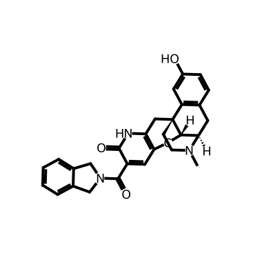 CN1CC[C@]23Cc4[nH]c(=O)c(C(=O)N5Cc6ccccc6C5)cc4C[C@H]2[C@H]1Cc1ccc(O)cc13